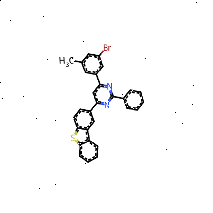 Cc1cc(Br)cc(-c2cc(-c3ccc4sc5ccccc5c4c3)nc(-c3ccccc3)n2)c1